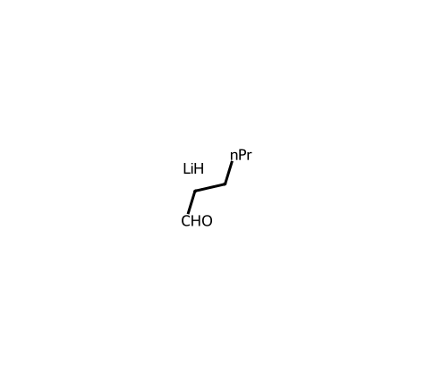 CCCCCC=O.[LiH]